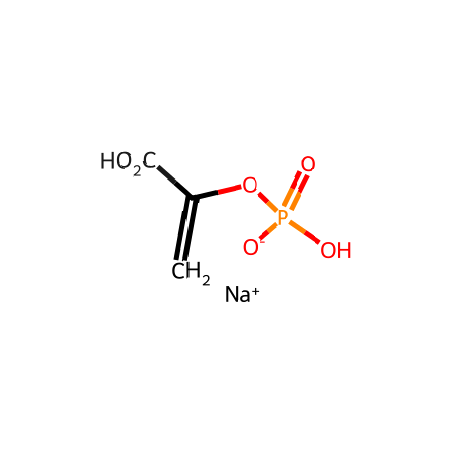 C=C(OP(=O)([O-])O)C(=O)O.[Na+]